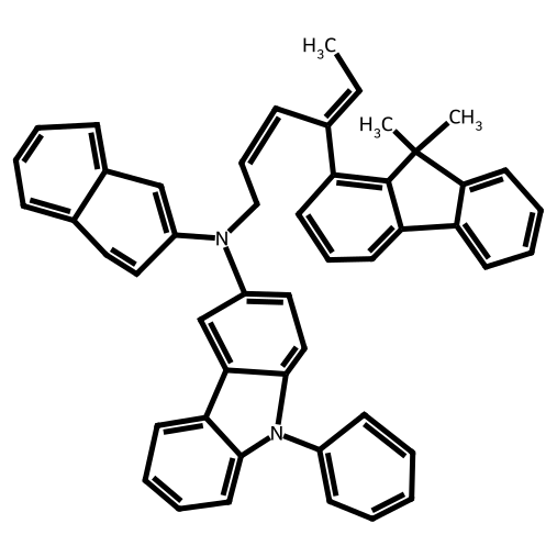 C/C=C(\C=C/CN(c1ccc2ccccc2c1)c1ccc2c(c1)c1ccccc1n2-c1ccccc1)c1cccc2c1C(C)(C)c1ccccc1-2